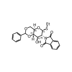 CCS[C@@H]1O[C@@H]2COC(c3ccccc3)O[C@H]2[C@H](O)[C@H]1N1C(=O)c2ccccc2C1=O